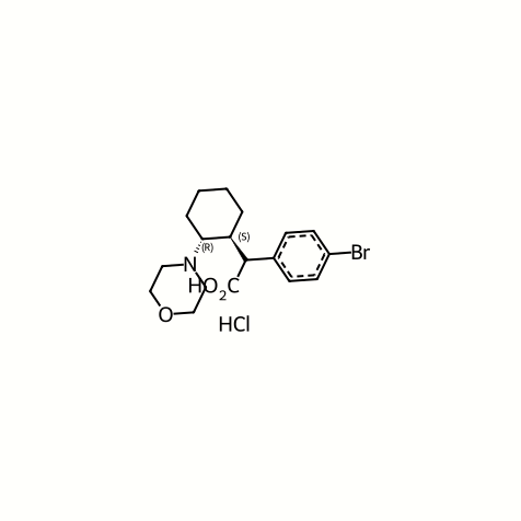 Cl.O=C(O)C(c1ccc(Br)cc1)[C@@H]1CCCC[C@H]1N1CCOCC1